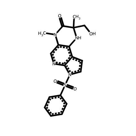 CN1C(=O)C(C)(CO)Nc2c1cnc1c2ccn1S(=O)(=O)c1ccccc1